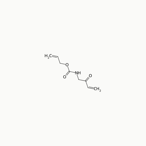 C=CCOC(=O)NCC(=O)C=C